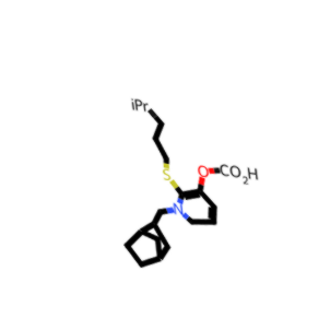 CC(C)CCCSC1=C(OC(=O)O)C=CCN1CC1CC2CCC1C2